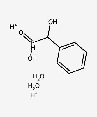 O.O.O=[PH](O)C(O)c1ccccc1.[H+].[H+]